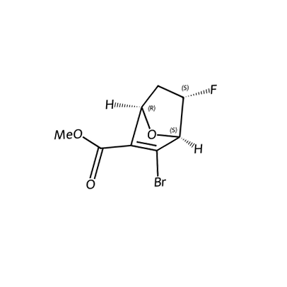 COC(=O)C1=C(Br)[C@H]2O[C@@H]1C[C@@H]2F